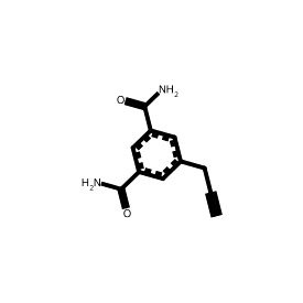 C#CCc1cc(C(N)=O)cc(C(N)=O)c1